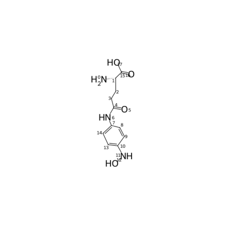 N[C@@H](CCC(=O)Nc1ccc(NO)cc1)C(=O)O